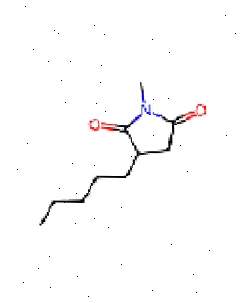 CCCCCC1CC(=O)N(C)C1=O